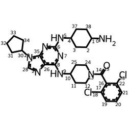 NC1CCC(Nc2nc(NC3CCN(C(=O)c4c(Cl)cccc4Cl)CC3)c3ncn(C4CCCC4)c3n2)CC1